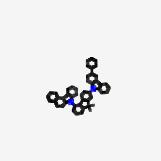 CC1(C)c2cc(-n3c4ccccc4c4cc(-c5ccccc5)ccc43)ccc2-c2c(-n3c4ccccc4c4c5ccccc5ccc43)cccc21